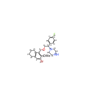 COc1c(Br)cc2c(c1COCC(c1ccc(F)cc1)N1CCNCC1)CCCC2